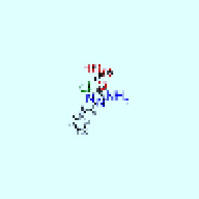 Nc1nc(C=Cc2ccccc2)nc(Cl)c1OCC(=O)O